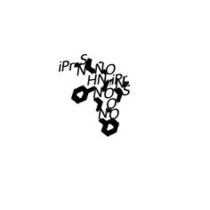 CC(C)c1nc(CN(C)C(=O)N[C@H](C(=O)N(CCCN(Cc2ccccc2)C(=O)OCc2cncs2)Cc2ccccc2)C(C)C)cs1